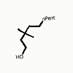 CCCCCCCC(C)(C)CCO